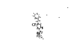 CS(=O)(=O)NC(=O)c1cc(Cl)c(CCC2CCCCCC2)cc1F